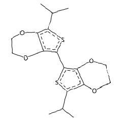 CC(C)c1sc(-c2sc(C(C)C)c3c2OCCO3)c2c1OCCO2